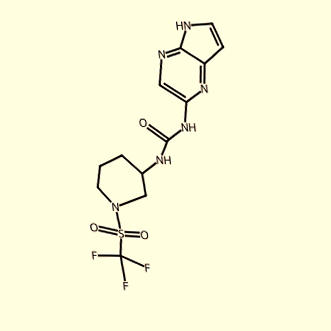 O=C(Nc1cnc2[nH]ccc2n1)NC1CCCN(S(=O)(=O)C(F)(F)F)C1